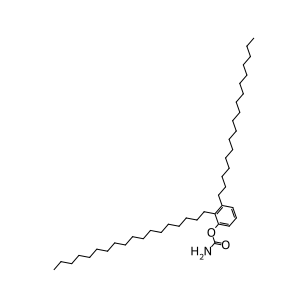 CCCCCCCCCCCCCCCCCCc1cccc(OC(N)=O)c1CCCCCCCCCCCCCCCCCC